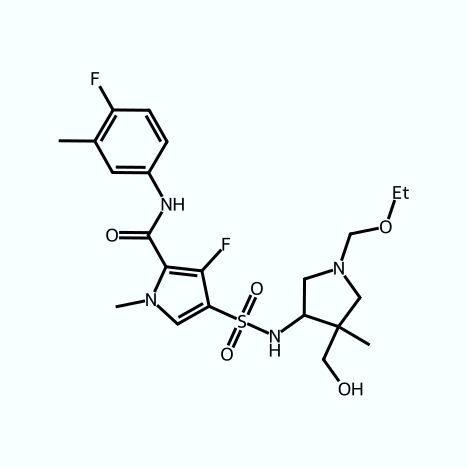 CCOCN1CC(NS(=O)(=O)c2cn(C)c(C(=O)Nc3ccc(F)c(C)c3)c2F)C(C)(CO)C1